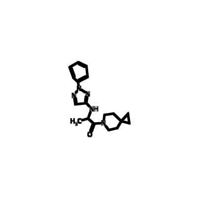 CC(Nc1cnn(-c2ccccc2)n1)C(=O)N1CCC2(CC1)CC2